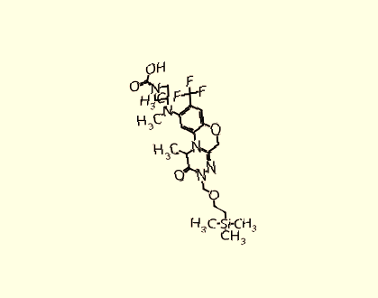 CC1C(=O)N(COCC[Si](C)(C)C)N=C2COc3cc(C(F)(F)F)c(N(C)C4(C)CN(C(=O)O)C4)cc3N21